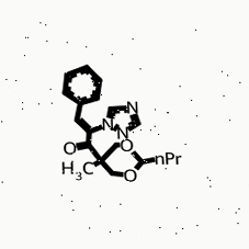 CCCC1OCC(C)(C(=O)C(=Cc2ccccc2)n2cncn2)CO1